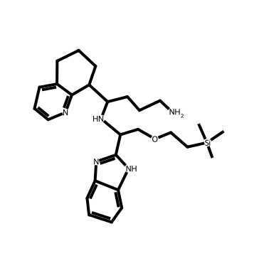 C[Si](C)(C)CCOCC(NC(CCCN)C1CCCc2cccnc21)c1nc2ccccc2[nH]1